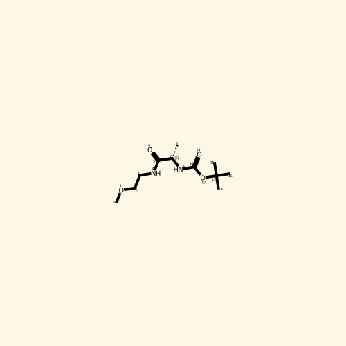 COCCNC(=O)[C@H](C)NC(=O)OC(C)(C)C